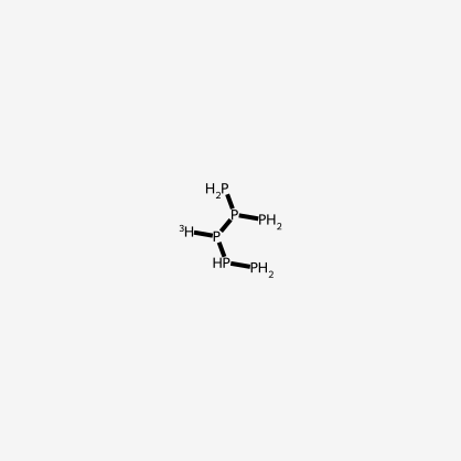 [3H]P(PP)P(P)P